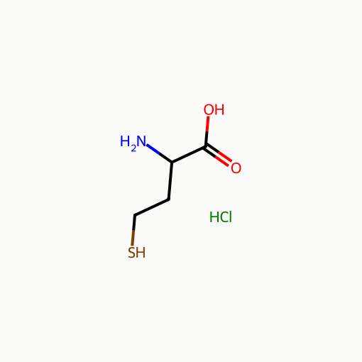 Cl.NC(CCS)C(=O)O